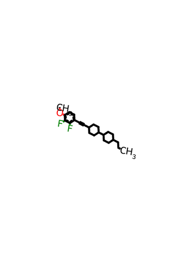 CCCC1CCC(C2CCC(C#Cc3ccc(OC)c(F)c3F)CC2)CC1